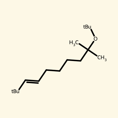 CC(C)(C)/C=C/CCCCC(C)(C)OC(C)(C)C